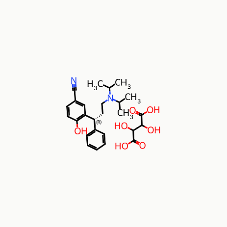 CC(C)N(CC[C@H](c1ccccc1)c1cc(C#N)ccc1O)C(C)C.O=C(O)C(O)C(O)C(=O)O